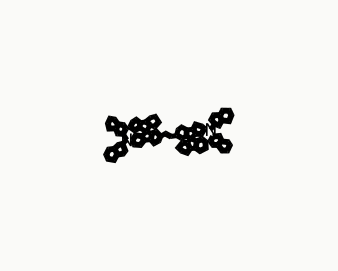 C1=CC2=C(CC1)c1ccccc1C21c2cc(/C=C/C3=CC4=C(CC3)c3ccc(N(c5ccc6ccccc6c5)c5ccc6ccccc6c5)cc3C43c4ccccc4-c4ccccc43)ccc2-c2ccc(N(c3ccc4ccccc4c3)c3ccc4ccccc4c3)cc21